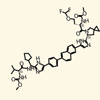 COC(=O)N[C@@H](CCOC(F)F)C(=O)N1CC2(CC2)C[C@H]1c1ncc(-c2ccc3cc(-c4ccc(-c5cnc([C@@H](NC(=O)[C@@H](NC(=O)OC)C(C)C)C6CCCC6)[nH]5)cc4)ccc3c2)[nH]1